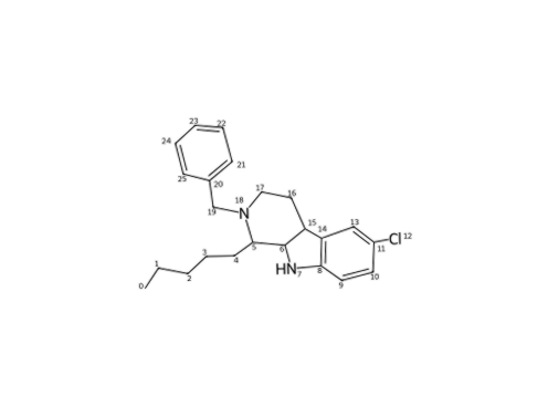 CCCCCC1C2Nc3ccc(Cl)cc3C2CCN1Cc1ccccc1